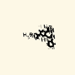 Cc1nnn2c1-c1ccc(-c3cnn(C)c3)cc1C(Nc1ccccc1C#N)CC2